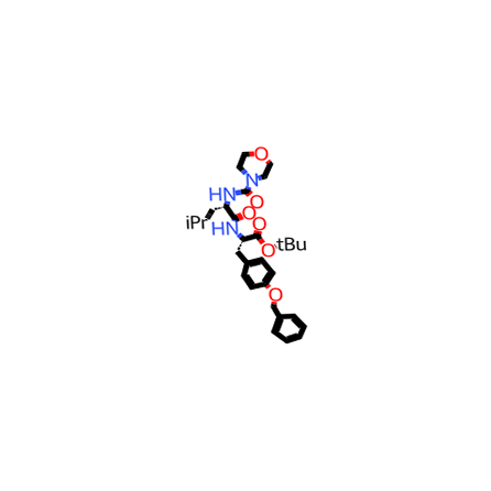 CC(C)C[C@H](NC(=O)N1CCOCC1)C(=O)N[C@@H](Cc1ccc(OCc2ccccc2)cc1)C(=O)OC(C)(C)C